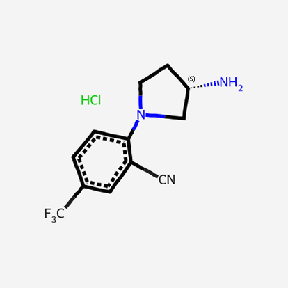 Cl.N#Cc1cc(C(F)(F)F)ccc1N1CC[C@H](N)C1